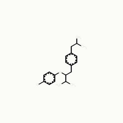 CC(C)Cc1ccc(CC(Oc2ccc(Cl)cc2)C(C)C)cc1